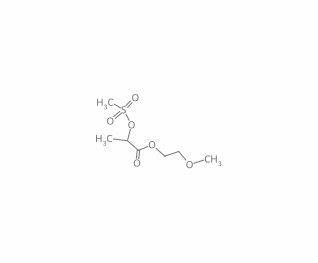 COCCOC(=O)C(C)OS(C)(=O)=O